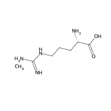 C.N=C(N)NCCC[C@H](N)C(=O)O